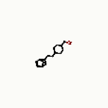 BrCC1CCC(CCC2CC3C=CC2C3)CC1